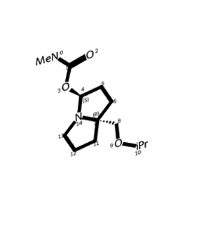 CNC(=O)O[C@H]1CC[C@@]2(COC(C)C)CCCN12